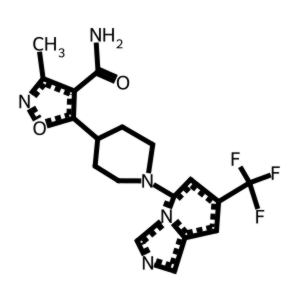 Cc1noc(C2CCN(c3cc(C(F)(F)F)cc4cncn34)CC2)c1C(N)=O